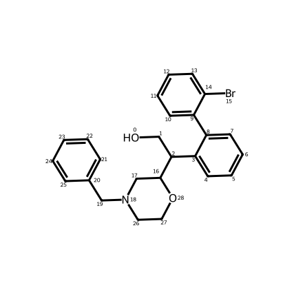 OCC(c1ccccc1-c1ccccc1Br)C1CN(Cc2ccccc2)CCO1